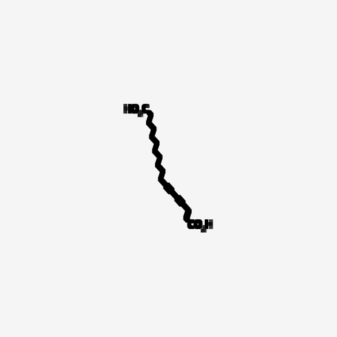 O=C(O)C=CC#CC#CCCCCCCCCCCC(=O)O